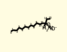 CCCCCCCCCCCCC(C)(CC)O[NH2+][O-]